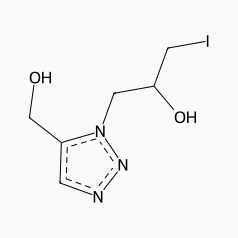 OCc1cnnn1CC(O)CI